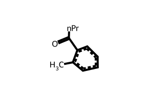 CCCC(=O)c1ccccc1C